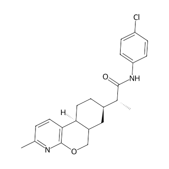 Cc1ccc2c(n1)OCC1C[C@H]([C@@H](C)C(=O)Nc3ccc(Cl)cc3)CC[C@H]21